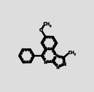 COc1ccc2c(c1)c(-c1ccccc1)nc1nnc(C)n12